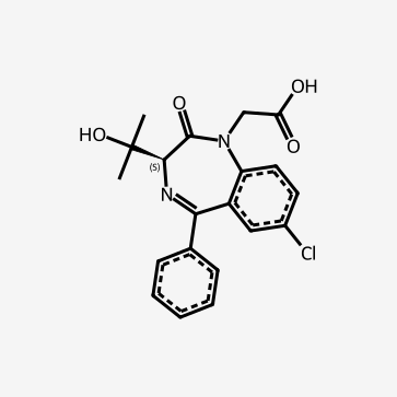 CC(C)(O)[C@@H]1N=C(c2ccccc2)c2cc(Cl)ccc2N(CC(=O)O)C1=O